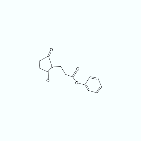 O=C(CCN1C(=O)CCC1=O)Oc1ccccc1